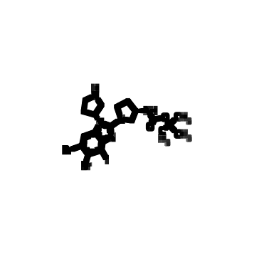 CC(C)(C)OC(=O)N[C@@H]1CCN(c2nc3c(I)c(Br)c(Br)cc3n2[C@H]2CCNC2)C1